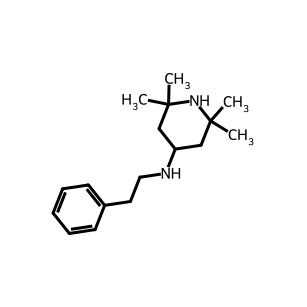 CC1(C)CC(NCCc2ccccc2)CC(C)(C)N1